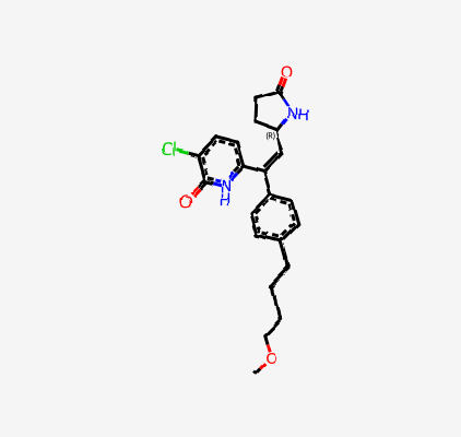 COCCCCc1ccc(C(=C[C@H]2CCC(=O)N2)c2ccc(Cl)c(=O)[nH]2)cc1